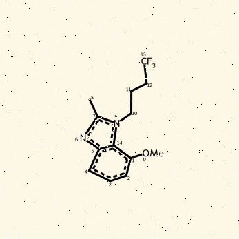 COc1cccc2nc(C)n(CCCC(F)(F)F)c12